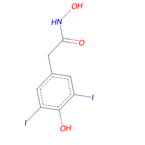 O=C(Cc1cc(I)c(O)c(I)c1)NO